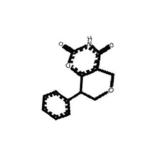 O=c1[nH]c(=O)c2c(o1)C(c1ccccc1)COC2